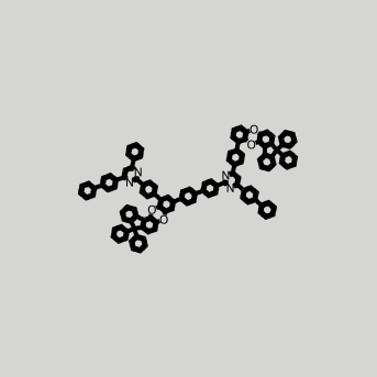 c1ccc(-c2ccc(-c3cc(-c4ccc(-c5cccc6c5Oc5c(ccc7c5-c5ccccc5C7(c5ccccc5)c5ccccc5)O6)cc4)nc(-c4ccc(-c5ccc(-c6cc7c(c(-c8ccc(-c9nc(-c%10ccccc%10)cc(-c%10ccc(-c%11ccccc%11)cc%10)n9)cc8)c6)Oc6c(ccc8c6-c6ccccc6C8(c6ccccc6)c6ccccc6)O7)cc5)cc4)n3)cc2)cc1